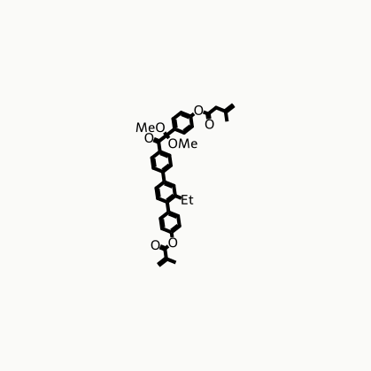 C=C(C)CC(=O)Oc1ccc(C(OC)(OC)C(=O)c2ccc(-c3ccc(-c4ccc(OC(=O)C(=C)C)cc4)c(CC)c3)cc2)cc1